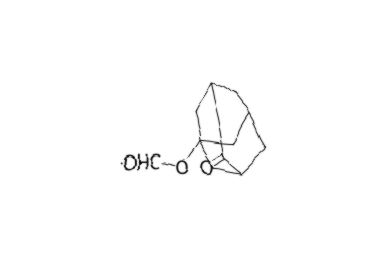 O=[C]OC12CC3CC(C1)C(=O)C(C3)C2